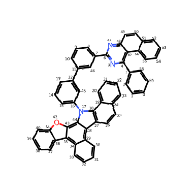 c1ccc(-c2nc(-c3cccc(-c4cccc(-n5c6c7ccccc7ccc6c6c7ccccc7c7c8ccccc8oc7c65)c4)c3)nc3ccc4ccccc4c23)cc1